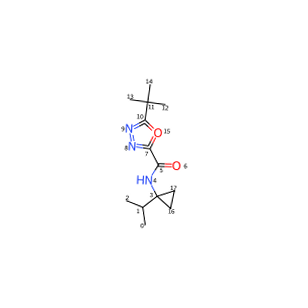 CC(C)C1(NC(=O)c2nnc(C(C)(C)C)o2)CC1